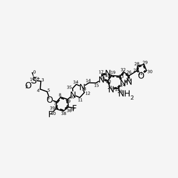 C[S@+]([O-])CCCOc1cc(N2CCN(CCn3cnc4c3nc(N)n3nc(-c5ccco5)cc43)CC2)c(F)cc1F